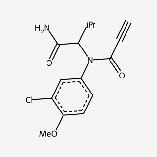 C#CC(=O)N(c1ccc(OC)c(Cl)c1)C(C(N)=O)C(C)C